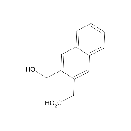 O=C(O)Cc1cc2ccccc2cc1CO